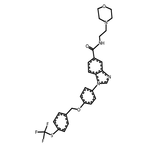 O=C(NCCN1CCOCC1)c1ccc2c(c1)ncn2-c1ccc(OCc2ccc(SC(F)(F)F)cc2)cc1